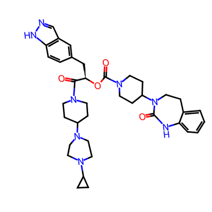 O=C(O[C@H](Cc1ccc2[nH]ncc2c1)C(=O)N1CCC(N2CCN(C3CC3)CC2)CC1)N1CCC(N2CCc3ccccc3NC2=O)CC1